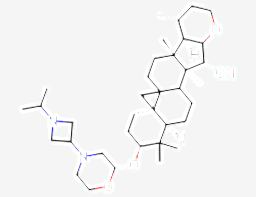 CC(C)N1CC(N2CCO[C@@H](O[C@H]3CC[C@]45CC46CC[C@]4(C)[C@@H]7C(OCC[C@H]7C)[C@H](O)[C@@]4(C)C6CC[C@H]5C3(C)C)C2)C1